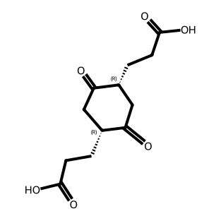 O=C(O)CC[C@@H]1CC(=O)[C@H](CCC(=O)O)CC1=O